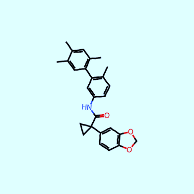 Cc1cc(C)c(-c2cc(NC(=O)C3(c4ccc5c(c4)OCO5)CC3)ccc2C)cc1C